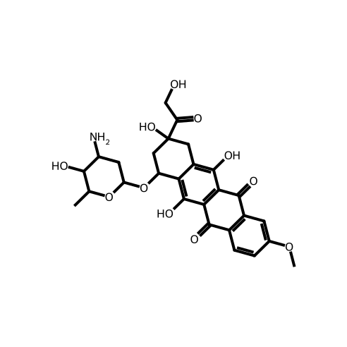 COc1ccc2c(c1)C(=O)c1c(O)c3c(c(O)c1C2=O)C(OC1CC(N)C(O)C(C)O1)CC(O)(C(=O)CO)C3